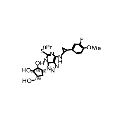 CCCSc1nc(NC2CC2c2ccc(OC)c(F)c2)c2nnn([C@@H]3C[C@H](CO)[C@@H](O)[C@H]3O)c2n1